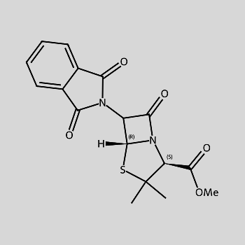 COC(=O)[C@@H]1N2C(=O)C(N3C(=O)c4ccccc4C3=O)[C@H]2SC1(C)C